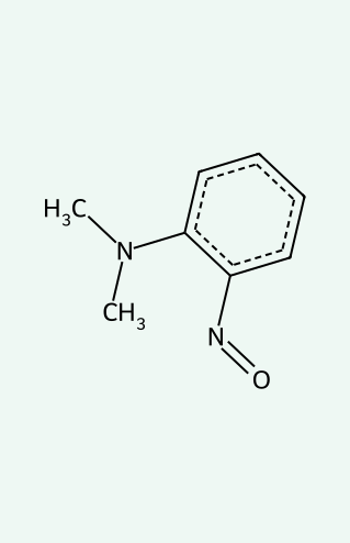 CN(C)c1ccccc1N=O